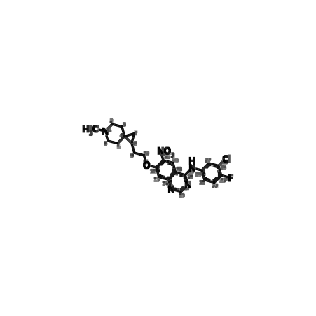 CN1CCC2(CC1)CC2CCOc1cc2ncnc(Nc3ccc(F)c(Cl)c3)c2cc1[N+](=O)[O-]